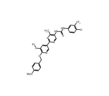 CCOc1cc(-c2ncc(NC(=O)Nc3ccc(Cl)c(C(F)(F)F)c3)c(C)n2)cnc1OCc1ccc(OC)cc1